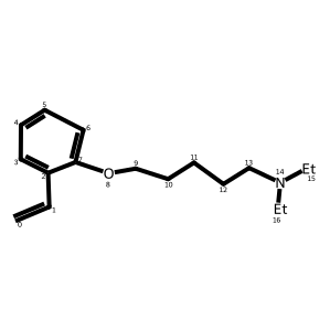 C=Cc1ccccc1OCCCCCN(CC)CC